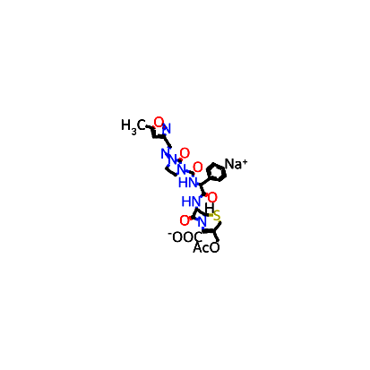 CC(=O)OCC1=C(C(=O)[O-])N2C(=O)C(NC(=O)C(NC(=O)N3CCN(N=Cc4cc(C)on4)C3=O)c3ccccc3)[C@@H]2SC1.[Na+]